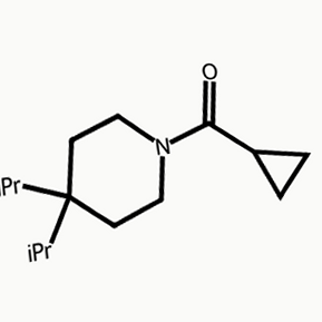 CC(C)C1(C(C)C)CCN(C(=O)C2CC2)CC1